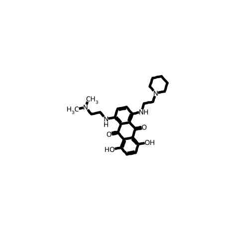 CN(C)CCNc1ccc(NCCN2CCCCC2)c2c1C(=O)c1c(O)ccc(O)c1C2=O